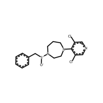 [O-][S+](Cc1ccccc1)N1CCCN(c2c(Cl)cncc2Cl)CC1